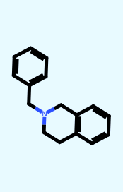 [c]1cccc2c1CN(Cc1ccccc1)CC2